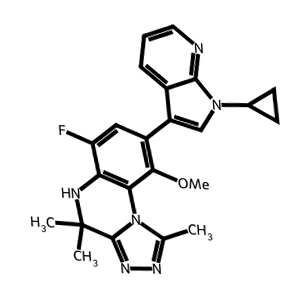 COc1c(-c2cn(C3CC3)c3ncccc23)cc(F)c2c1-n1c(C)nnc1C(C)(C)N2